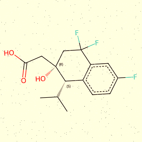 CC(C)[C@H]1c2ccc(F)cc2C(F)(F)C[C@]1(O)CC(=O)O